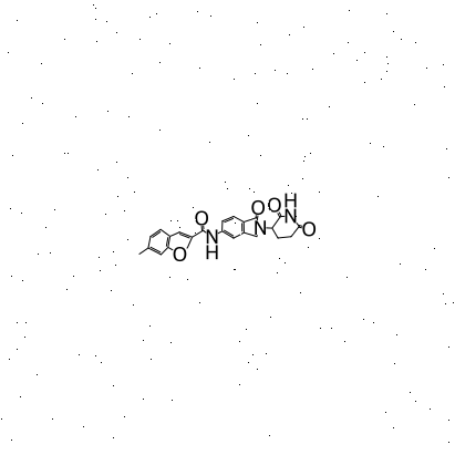 Cc1ccc2c(c1)OCC(C(=O)Nc1ccc3c(c1)CN(C1CCC(=O)NC1=O)C3=O)=C2